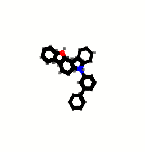 C1=CCCC(c2cccc(-n3c4c(c5c6oc7ccccc7c6ccc53)CCCC4)c2)=C1